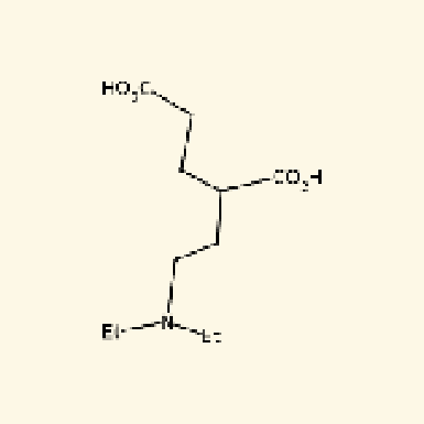 CCN(CC)CCC(CCC(=O)O)C(=O)O